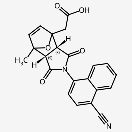 CC12C=CC(CC(=O)O)(O1)[C@@H]1C(=O)N(c3ccc(C#N)c4ccccc34)C(=O)[C@@H]12